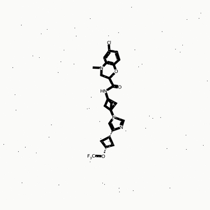 CN1CC(C(=O)NC23CC(n4cnc([C@H]5C[C@@H](OC(F)(F)F)C5)c4)(C2)C3)Oc2ccc(Cl)cc21